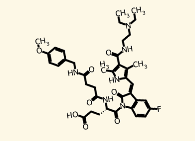 CCN(CC)CCNC(=O)c1c(C)[nH]c(/C=C2\C(=O)N(C(=O)[C@H](CCC(=O)O)NC(=O)CCC(=O)NCc3ccc(OC)cc3)c3ccc(F)cc32)c1C